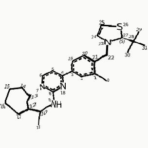 Cc1cc(-c2ccnc(NC(C)C3CCCCC3)n2)ccc1CN1C=CS[C@H]1C(C)(C)C